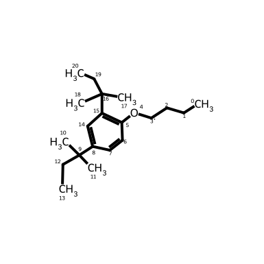 CCC[C]Oc1ccc(C(C)(C)CC)cc1C(C)(C)CC